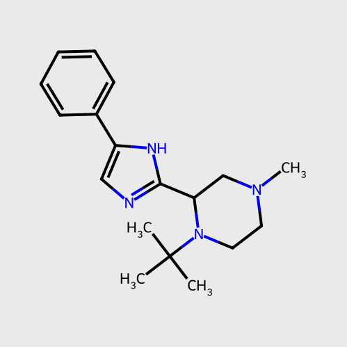 CN1CCN(C(C)(C)C)C(c2ncc(-c3ccccc3)[nH]2)C1